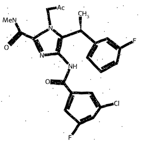 CNC(=O)c1nc(NC(=O)c2cc(F)cc(Cl)c2)c([C@@H](C)c2cccc(F)c2)n1CC(C)=O